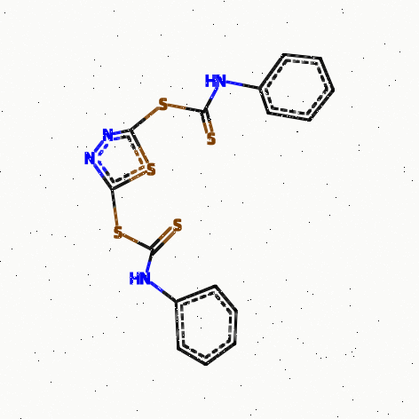 S=C(Nc1ccccc1)Sc1nnc(SC(=S)Nc2ccccc2)s1